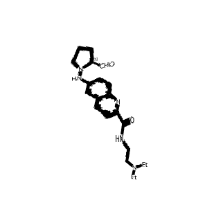 CCN(CC)CCNC(=O)c1ccc2cc(NN3CCC[C@H]3C=O)ccc2n1